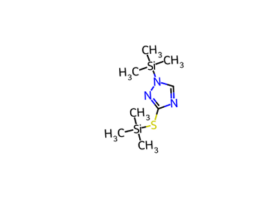 C[Si](C)(C)Sc1ncn([Si](C)(C)C)n1